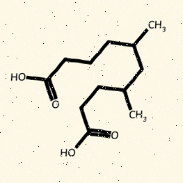 CC(CCCC(=O)O)CC(C)CCC(=O)O